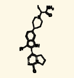 CC(C)c1c(-c2ccc(=O)n3c2CCC3)[nH]c2cc(C3CCN(C(I)C(N)=O)CC3)ccc12